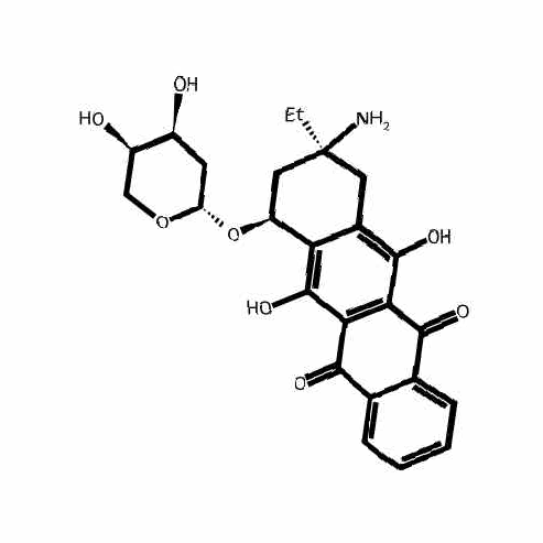 CC[C@]1(N)Cc2c(O)c3c(c(O)c2[C@@H](O[C@H]2C[C@H](O)[C@H](O)CO2)C1)C(=O)c1ccccc1C3=O